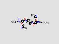 CC(=O)NCCNCc1ccc(C(=O)N2CCc3c(-c4cccc5c4CCN5C(=O)c4ccc(CNCCNC(C)=O)c(OCc5cncc(C#N)c5)c4)cccc32)cc1OCc1cncc(C#N)c1